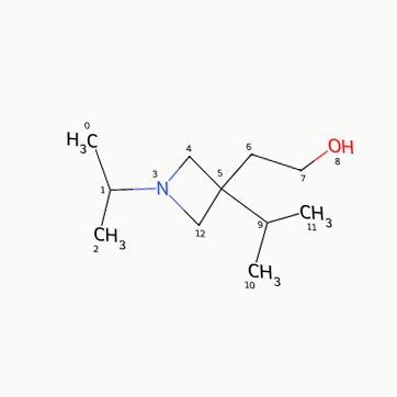 CC(C)N1CC(CCO)(C(C)C)C1